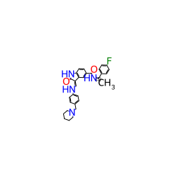 C[C@H](NC(=O)c1ccc2c(c1)C(=CNc1ccc(CN3CCCCC3)cc1)C(=O)N2)c1ccc(F)cc1